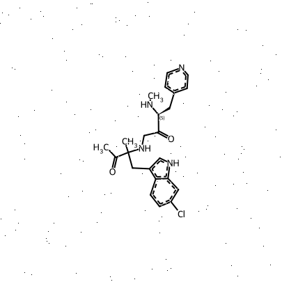 CN[C@@H](Cc1ccncc1)C(=O)CNC(C)(Cc1c[nH]c2cc(Cl)ccc12)C(C)=O